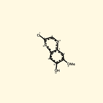 COc1cc2ncc(Cl)nc2cc1O